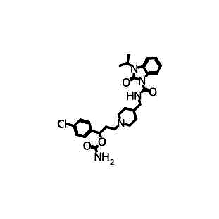 CC(C)n1c(=O)n(C(=O)NCC2CCN(CCC(OC(N)=O)c3ccc(Cl)cc3)CC2)c2ccccc21